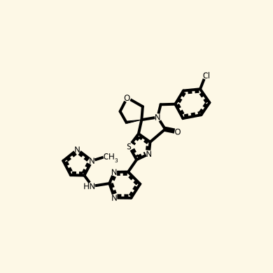 Cn1nccc1Nc1nccc(-c2nc3c(s2)[C@@]2(CCOC2)N(Cc2cccc(Cl)c2)C3=O)n1